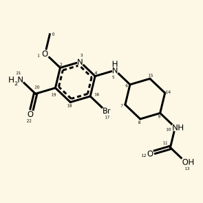 COc1nc(NC2CCC(NC(=O)O)CC2)c(Br)cc1C(N)=O